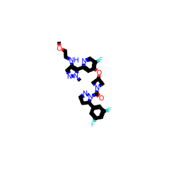 COCCNc1cnn(C)c1-c1cc(OC2CN(C(=O)N3N=CCC3c3cc(F)cc(F)c3)C2)c(F)cn1